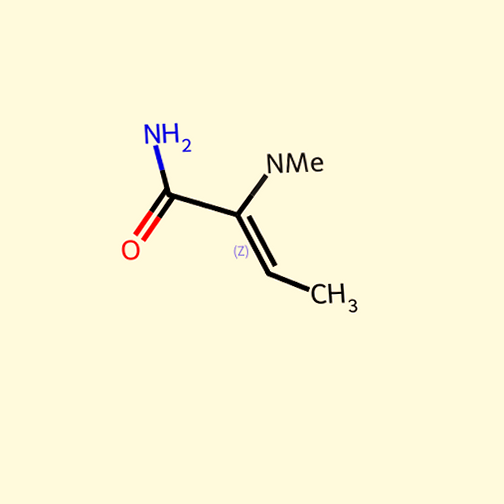 C/C=C(\NC)C(N)=O